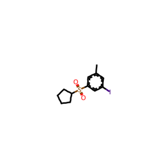 Cc1cc(I)cc(S(=O)(=O)C2CCCC2)c1